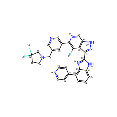 Fc1c(-c2cncc(CN3CCC(F)(F)C3)c2)ncc2[nH]nc(-c3nc4c(-c5ccncc5)cccc4[nH]3)c12